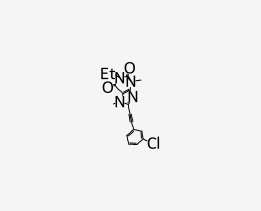 CCn1c(=O)c2c(nc(C#Cc3cccc(Cl)c3)n2C)n(C)c1=O